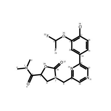 CN(C)C(=O)C1CN(Cc2cncc(-c3ccc(Cl)c(OC(F)F)c3)n2)C(=O)O1